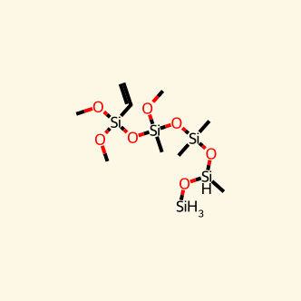 C=C[Si](OC)(OC)O[Si](C)(OC)O[Si](C)(C)O[SiH](C)O[SiH3]